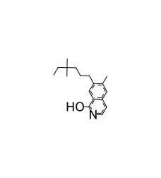 CCC(C)(C)CCCc1cc2c(O)nccc2cc1C